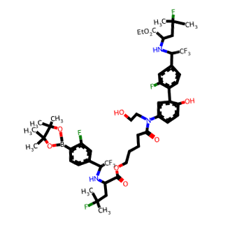 CCOC(=O)C(CC(C)(C)F)NC(c1ccc(-c2cc(N(CCO)C(=O)CCCCOC(=O)C(CC(C)(C)F)NC(c3ccc(B4OC(C)(C)C(C)(C)O4)c(F)c3)C(F)(F)F)ccc2O)c(F)c1)C(F)(F)F